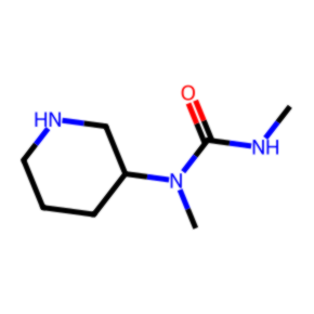 CNC(=O)N(C)C1CCCNC1